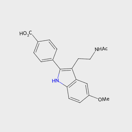 COc1ccc2[nH]c(-c3ccc(C(=O)O)cc3)c(CCNC(C)=O)c2c1